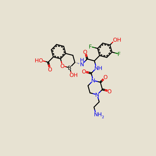 NCCN1CCN(C(=O)NC(C(=O)N[C@H]2Cc3cccc(C(=O)O)c3OB2O)c2cc(F)c(O)cc2F)C(=O)C1=O